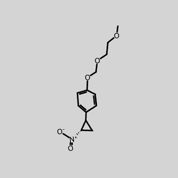 COCCOCOc1ccc(C2C[C@@H]2[N+](=O)[O-])cc1